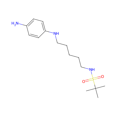 CC(C)(C)S(=O)(=O)NCCCCCNc1ccc(N)cc1